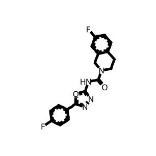 O=C(Nc1nnc(-c2ccc(F)cc2)o1)N1CCc2ccc(F)cc2C1